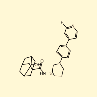 O=C(N[C@H]1CCCN(c2ccc(-c3ccnc(F)c3)cc2)C1)C12CC3CC(C1)C(O)C(C3)C2